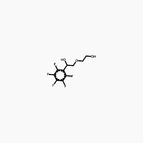 OCCOCC(O)c1c(F)c(F)c(F)c(F)c1F